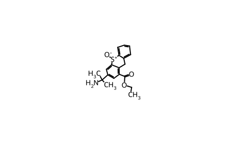 CCOC(=O)c1cc(C(C)(C)N)cc2c1Cc1ccccc1[S+]2[O-]